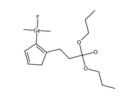 CCCOC([O])(CCC1=[C]([Ge]([CH3])([CH3])[F])C=CC1)OCCC